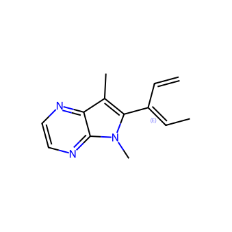 C=C/C(=C\C)c1c(C)c2nccnc2n1C